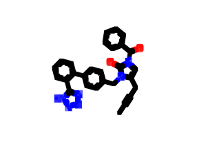 CC#CCc1cn(C(=O)c2ccccc2)c(=O)n1Cc1ccc(-c2ccccc2-c2nnn[nH]2)cc1